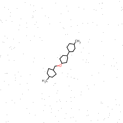 CC1CCC(COC2CCC(C3CCC(C)CC3)CC2)CC1